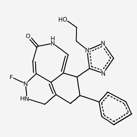 O=C1C=C2C3=C(CNN2F)CC(c2ccccc2)C(c2ncnn2CCO)C3=CN1